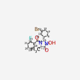 C[C@@H]1C(=O)N(O)C(c2cccc(Br)c2)N1C(=O)c1ccccc1F